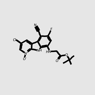 CC(C)(C)OC(=O)CNc1cc(F)c(C#N)c2c1[nH]c1c2cc(Cl)c[n+]1[O-]